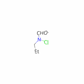 CCCN(Cl)[C]=O